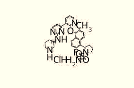 Cc1ccc2c(C3CCCN3S(N)(=O)=O)c(F)ccc2c1Oc1ncccc1-c1ccnc(N[C@H]2CCCNC2)n1.Cl